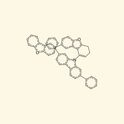 C1=C(n2c3cc(-c4ccccc4)ccc3c3ccc(-c4ccccc4)cc32)c2c(oc3ccc(-c4ccc5oc6ccccc6c5c4)cc23)CC1